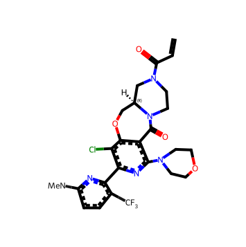 C=CC(=O)N1CCN2C(=O)c3c(N4CCOCC4)nc(-c4nc(NC)ccc4C(F)(F)F)c(Cl)c3OC[C@H]2C1